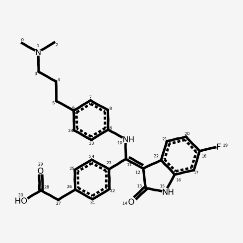 CN(C)CCCc1ccc(NC(=C2C(=O)Nc3cc(F)ccc32)c2ccc(CC(=O)O)cc2)cc1